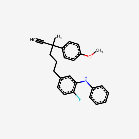 C#CC(C)(CCCc1ccc(F)c(Nc2ccccc2)c1)c1ccc(OC)cc1